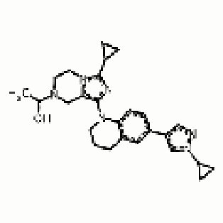 CC(O)N1CCn2c(C3CC3)nc(N3CCCc4cc(-c5cnn(C6CC6)c5)ccc43)c2C1